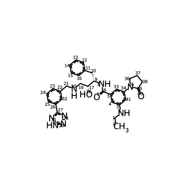 CCNc1cc(C(=O)N[C@@H](Cc2ccccc2)[C@H](O)CNCc2cccc(-c3nn[nH]n3)c2)cc(N2CCCC2=O)c1